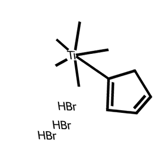 Br.Br.Br.[CH3][Ti]([CH3])([CH3])([CH3])([CH3])[C]1=CC=CC1